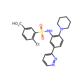 CCc1ccc(C(=O)O)cc1S(=O)(=O)Nc1cc(-c2cccnn2)ccc1N1CCCCC1